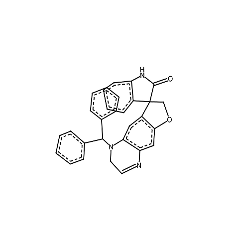 O=C1Nc2ccccc2C12COc1cc3c(cc12)N(C(c1ccccc1)c1ccccc1)CC=N3